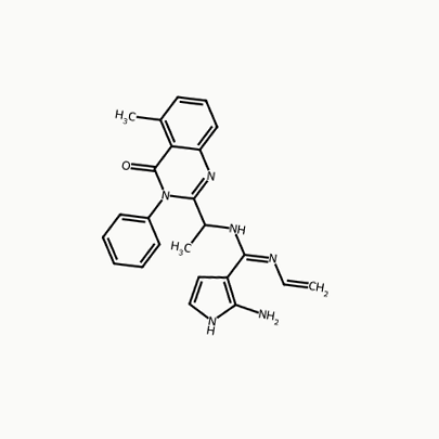 C=C/N=C(/NC(C)c1nc2cccc(C)c2c(=O)n1-c1ccccc1)c1cc[nH]c1N